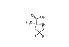 C[C@@]1(C(=O)O)CC(F)(F)CN1